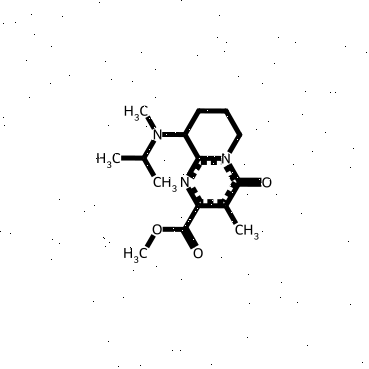 COC(=O)c1nc2n(c(=O)c1C)CCCC2N(C)C(C)C